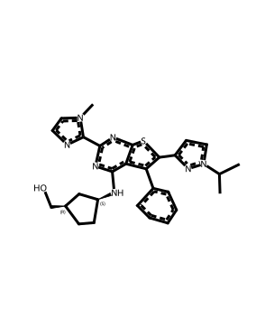 CC(C)n1ccc(-c2sc3nc(-c4nccn4C)nc(N[C@H]4CC[C@@H](CO)C4)c3c2-c2ccccc2)n1